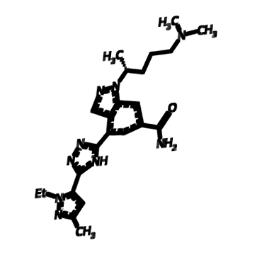 CCn1nc(C)cc1-c1nnc(-c2cc(C(N)=O)cc3c2cnn3[C@H](C)CCCN(C)C)[nH]1